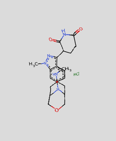 CNC1CC2COCC(C1)N2c1ccc2c(C3CCC(=O)NC3=O)nn(C)c2c1.Cl